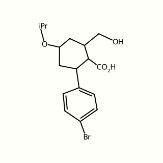 CC(C)OC1CC(CO)C(C(=O)O)C(c2ccc(Br)cc2)C1